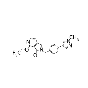 Cn1cc(-c2ccc(CN3Cc4ccnc(OCC(F)(F)F)c4C3=O)cc2)cn1